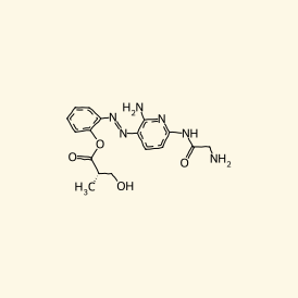 C[C@@H](CO)C(=O)Oc1ccccc1/N=N/c1ccc(NC(=O)CN)nc1N